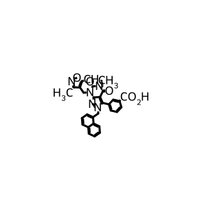 Cc1noc(C)c1Cn1c(=O)n(C)c(=O)c2c(-c3cccc(C(=O)O)c3)n(Cc3cccc4ccccc34)nc21